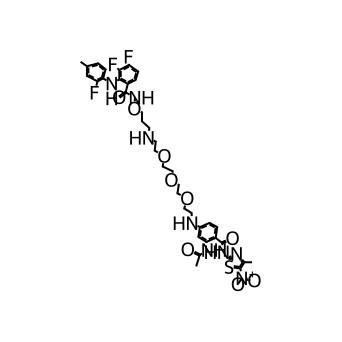 CC(=O)Nc1cc(NCCOCCOCCOCCNCCCONC(=O)c2ccc(F)c(F)c2Nc2ccc(C)cc2F)ccc1C(=O)Nc1nc(C)c([N+](=O)[O-])s1